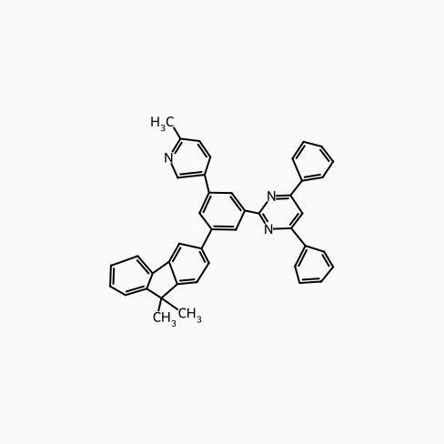 Cc1ccc(-c2cc(-c3ccc4c(c3)-c3ccccc3C4(C)C)cc(-c3nc(-c4ccccc4)cc(-c4ccccc4)n3)c2)cn1